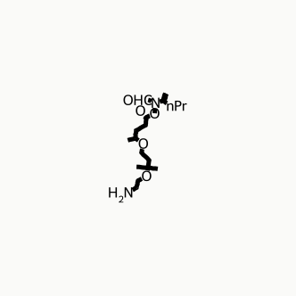 C=C(CCC)N(C=O)OC(=O)CCC(C)OCCC(C)(C)OCCN